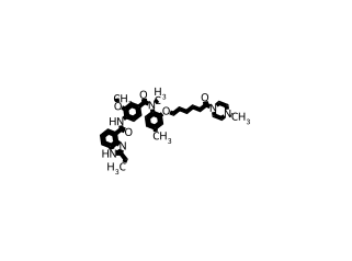 CCc1nc2c(C(=O)Nc3ccc(C(=O)N(C)c4ccc(C)cc4OCCCCCC(=O)N4CCN(C)CC4)cc3OC)cccc2[nH]1